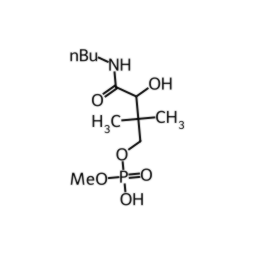 CCCCNC(=O)C(O)C(C)(C)COP(=O)(O)OC